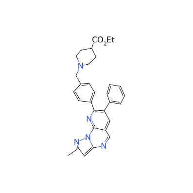 CCOC(=O)C1CCN(Cc2ccc(-c3nc4c(cnc5cc(C)nn54)cc3-c3ccccc3)cc2)CC1